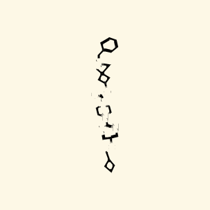 O=C(OC1CC2(C1)CN(Cc1ccccc1)C2)N1CCN(c2ncc(OCC3CCC3)cn2)CC1